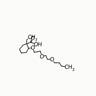 CCCCOCCOCCOC1CCCCC1(CC)C(=O)O